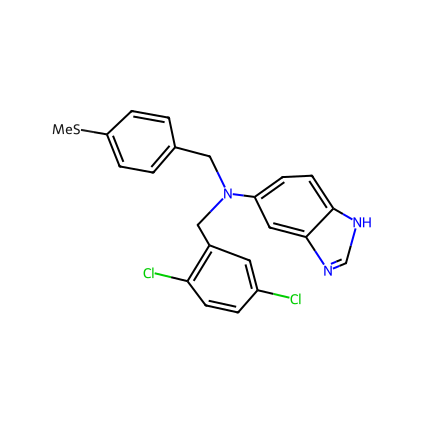 CSc1ccc(CN(Cc2cc(Cl)ccc2Cl)c2ccc3[nH]cnc3c2)cc1